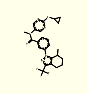 CC1CCCc2c(C(F)(F)F)nn(-c3cccc(C(=O)N(C)c4cnc(OC5CC5)nc4)c3)c21